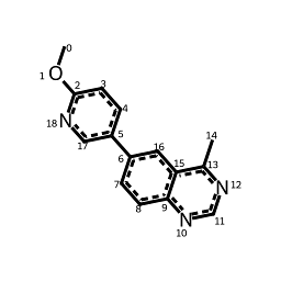 COc1ccc(-c2ccc3ncnc(C)c3c2)cn1